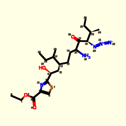 CCOC(=O)c1csc([C@H](O)C[C@@H](CCC(N)C(=O)[C@@H](N=[N+]=[N-])[C@@H](C)CC)C(C)CC)n1